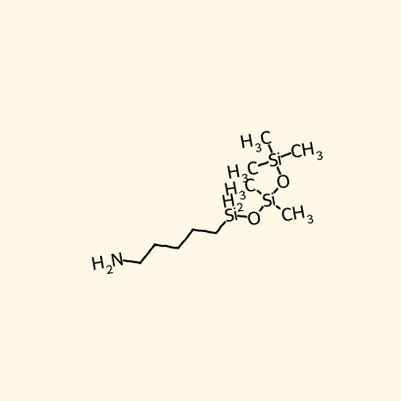 C[Si](C)(C)O[Si](C)(C)O[SiH2]CCCCCN